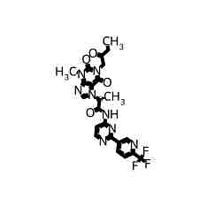 CCC(=O)Cn1c(=O)c2c(ncn2[C@@H](C)C(=O)Nc2ccnc(-c3ccc(C(F)(F)F)nc3)n2)n(C)c1=O